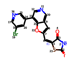 O=C1NC(=O)/C(=C\c2cc3cncc(-c4cncc(Br)c4)c3o2)S1